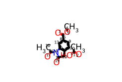 CC(=O)O.COC(=O)c1ccc2c(c1)N(C(C)=O)C(=O)C2